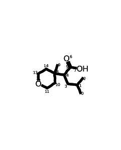 CC(C)CC(C(=O)O)C1(C)CCOCC1